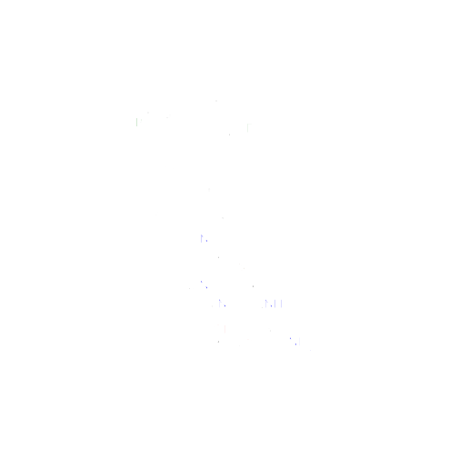 NC(=O)NC1SC(N2CCC(Oc3cc(F)ccc3Br)CC2)=NN1O